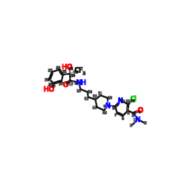 CN(C)C(=O)c1ccc(N2CCC(CCCNC(=O)[C@](O)(c3cccc(O)c3)C(F)(F)F)CC2)nc1Cl